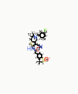 CC1(C)C[S+]([O-])c2ccc(CC(=O)Nc3sc4c(c3C#N)CN(Cc3cccc(F)c3)C(C)(C)C4)cc21